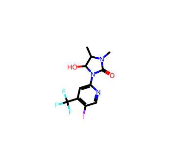 CC1C(O)N(c2cc(C(F)(F)F)c(I)cn2)C(=O)N1C